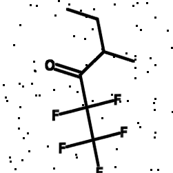 CCC(C)C(=O)C(F)(F)C(F)(F)F